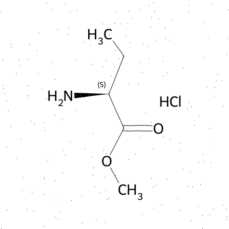 CC[C@H](N)C(=O)OC.Cl